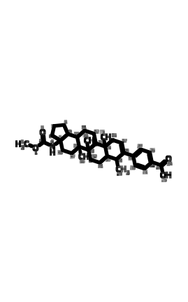 COC(=O)NC12CCCC1C1CCC3C4(C)CC=C(c5ccc(C(=O)O)cc5)C(C)C4CCC3(C)[C@]1(C)CC2